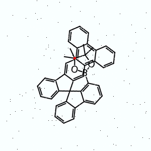 CC1(C)OB(c2cccc3c2C2(c4ccccc4-c4cc5c6ccccc6c6ccccc6c5cc42)c2ccccc2-3)OC1(C)C